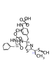 C#CS/C(=C\C)c1nc([C@H](Cc2ccc(NS(=O)(=O)O)cc2)NC(=O)[C@H](Cc2ccccc2)NC(=O)OC)cs1